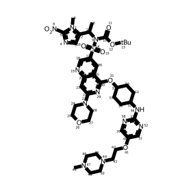 CC(c1cnc([N+](=O)[O-])n1C)N(C(=O)OC(C)(C)C)S(=O)(=O)c1cnc2cc(N3CCOCC3)nc(OC3CCC(Nc4ncc(OCCN5CCN(C)CC5)cn4)CC3)c2c1